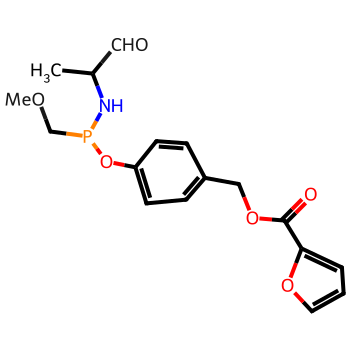 COCP(NC(C)C=O)Oc1ccc(COC(=O)c2ccco2)cc1